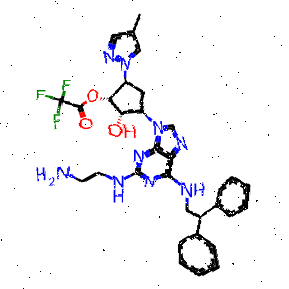 Cc1cnn([C@H]2C[C@@H](n3cnc4c(NCC(c5ccccc5)c5ccccc5)nc(NCCN)nc43)[C@H](O)[C@@H]2OC(=O)C(F)(F)F)c1